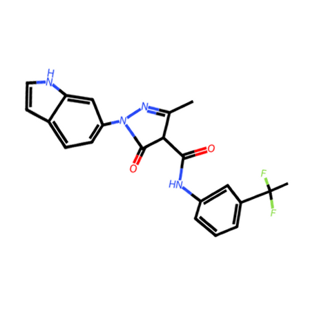 CC1=NN(c2ccc3cc[nH]c3c2)C(=O)C1C(=O)Nc1cccc(C(C)(F)F)c1